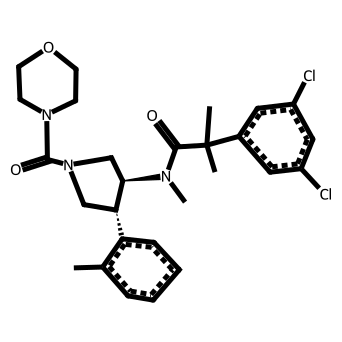 Cc1ccccc1[C@@H]1CN(C(=O)N2CCOCC2)C[C@H]1N(C)C(=O)C(C)(C)c1cc(Cl)cc(Cl)c1